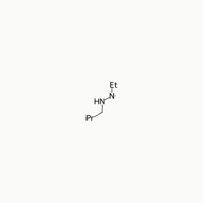 CC[N]NCC(C)C